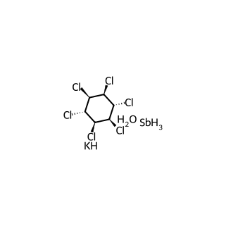 Cl[C@H]1[C@H](Cl)[C@@H](Cl)[C@@H](Cl)[C@H](Cl)[C@H]1Cl.O.[KH].[SbH3]